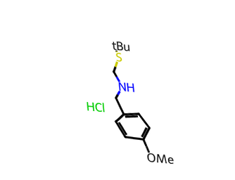 COc1ccc(CNCSC(C)(C)C)cc1.Cl